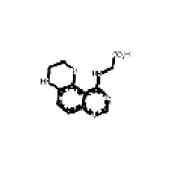 O=C(O)CNc1ncnc2ccc3c(c12)OCCN3